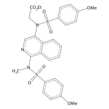 CCOC(=O)CN(c1cnc(N(C)S(=O)(=O)c2ccc(OC)cc2)c2ccccc12)S(=O)(=O)c1ccc(OC)cc1